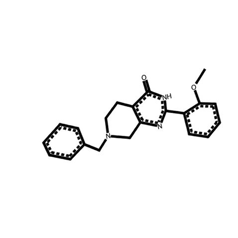 COc1ccccc1-c1nc2c(c(=O)[nH]1)CCN(Cc1ccccc1)C2